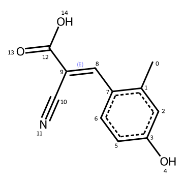 Cc1cc(O)ccc1/C=C(\C#N)C(=O)O